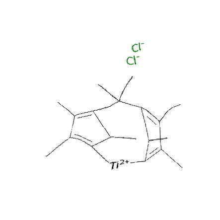 CC1=[C]2[Ti+2][C]3=C(C)C(C)=C(C3C)C(C)(C)C(=C1C)C2C.[Cl-].[Cl-]